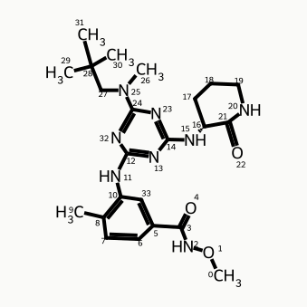 CONC(=O)c1ccc(C)c(Nc2nc(N[C@@H]3CCCNC3=O)nc(N(C)CC(C)(C)C)n2)c1